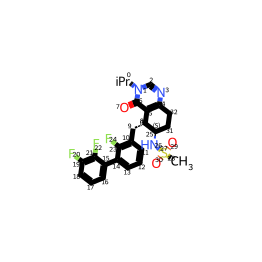 CC(C)n1cnc2c(c1=O)[C@@H](Cc1cccc(-c3cccc(F)c3F)c1F)[C@@H](NS(C)(=O)=O)CC2